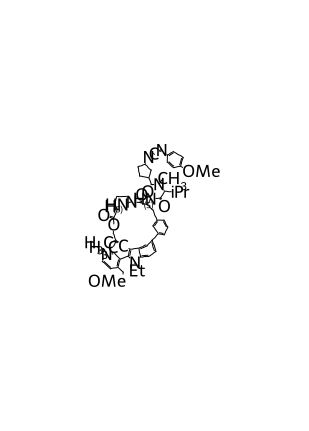 CCn1c(-c2cnccc2COC)c2c3cc(ccc31)-c1cccc(c1)C[C@H](NC(=O)C(C(C)C)N(C)C(=O)C1CCC(N=C=Nc3ccc(OC)cc3)C1)C(=O)N1CCC[C@H](N1)C(=O)OCC(C)(C)C2